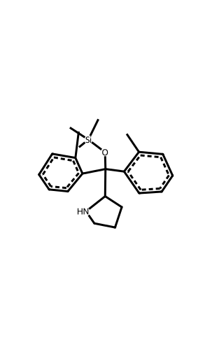 Cc1ccccc1C(O[Si](C)(C)C)(c1ccccc1C)C1CCCN1